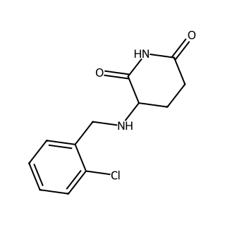 O=C1CCC(NCc2ccccc2Cl)C(=O)N1